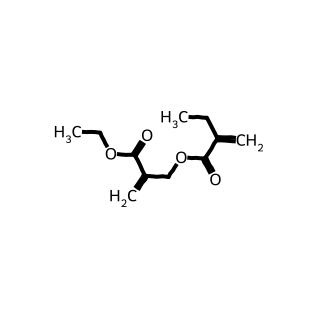 C=C(CC)C(=O)OCC(=C)C(=O)OCC